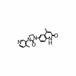 Cc1ccncc1N1CCN(c2ccc3[nH]c(=O)cc(C)c3c2)C1=O